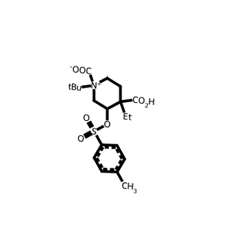 CCC1(C(=O)O)C[CH][N+](C(=O)[O-])(C(C)(C)C)CC1OS(=O)(=O)c1ccc(C)cc1